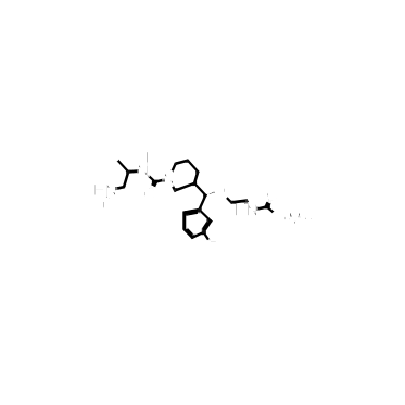 CCNCC(C)NC(=O)N1CCCC([C@@H](OCCNC(=O)OC)c2cccc(F)c2)C1